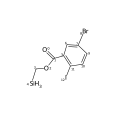 O=C(OC[SiH3])c1cc(Br)ccc1I